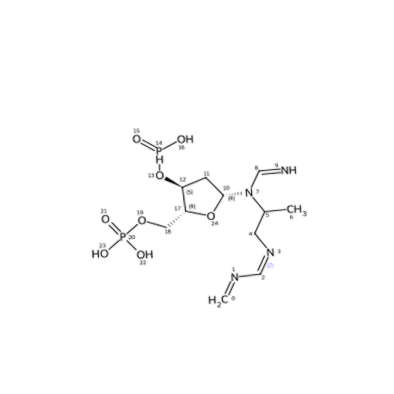 C=N/C=N\CC(C)N(C=N)[C@H]1C[C@H](O[PH](=O)O)[C@@H](COP(=O)(O)O)O1